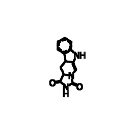 O=C1NC(=O)N2C=C3Nc4ccccc4C3CC12